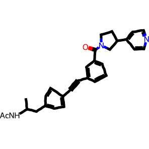 CC(=O)NC(C)Cc1ccc(C#Cc2cccc(C(=O)N3CCC(c4ccncc4)C3)c2)cc1